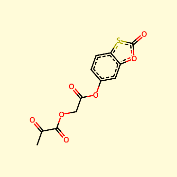 CC(=O)C(=O)OCC(=O)Oc1ccc2sc(=O)oc2c1